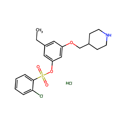 CCc1cc(OCC2CCNCC2)cc(OS(=O)(=O)c2ccccc2Cl)c1.Cl